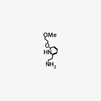 COCCOC1C=CC=C(CCN)N1